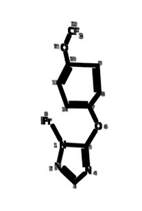 CC(C)n1ncnc1Oc1ccc(OC(F)(F)F)cc1